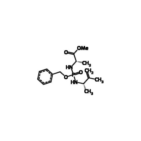 C=C(C)[C@H](C)NP(=O)(N[C@@H](C)C(=O)OC)OCc1ccccc1